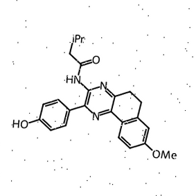 COc1ccc2c(c1)CCc1nc(NC(=O)CC(C)C)c(-c3ccc(O)cc3)nc1-2